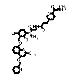 CNC(=O)c1ccc(/C=C/C(=O)NCC(=O)N(C)c2ccc(Cl)c(COc3cccc4c(OCc5ccccn5)cc(C)nc34)c2Cl)cn1